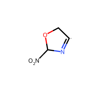 O=[N+]([O-])C1N=[C]CO1